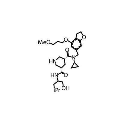 COCCCOc1cc(CN(C(=O)[C@H]2CNC[C@@H](C(=O)NC(CO)CC(C)C)C2)C2CC2)cc2c1CCO2